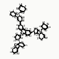 c1ccc(-n2c3ccccc3c3cc(-c4ccc5c(c4)c4cc(-c6ccc7c(c6)c6ccccc6n7-c6ccccc6)ccc4n5-c4cccc(-c5cccc6c5oc5ccccc56)c4)ccc32)cc1